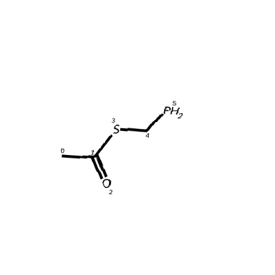 CC(=O)SCP